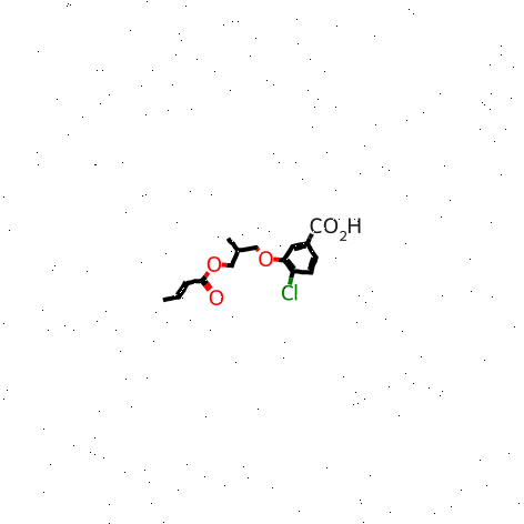 CC=CC(=O)OCC(C)COc1cc(C(=O)O)ccc1Cl